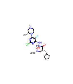 CC(C)[C@H]1CN(C)CCN1c1nc(Cl)nc(NNC(=O)[C@H](CC2CCCC2)CN(O)C=O)c1F